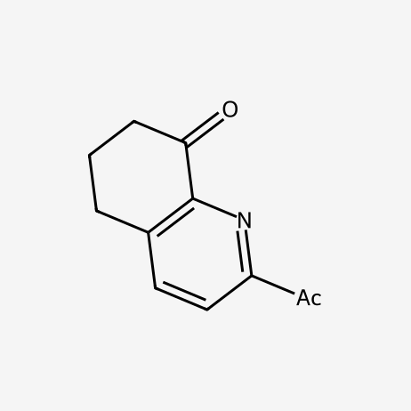 CC(=O)c1ccc2c(n1)C(=O)CCC2